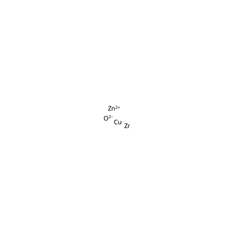 [Cu].[O-2].[Zn+2].[Zr]